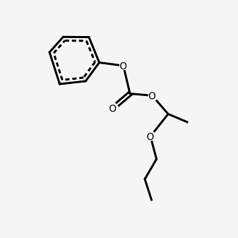 CCCOC(C)OC(=O)Oc1ccccc1